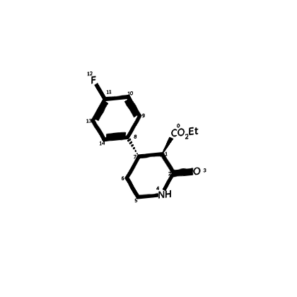 CCOC(=O)[C@H]1C(=O)NCC[C@@H]1c1ccc(F)cc1